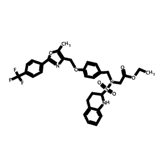 CCOC(=O)CN(Cc1ccc(OCc2nc(-c3ccc(C(F)(F)F)cc3)oc2C)cc1)S(=O)(=O)C1CCc2ccccc2N1